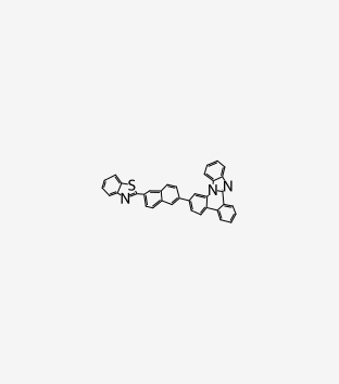 c1ccc2sc(-c3ccc4cc(-c5ccc6c7ccccc7c7nc8ccccc8n7c6c5)ccc4c3)nc2c1